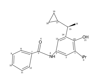 CC(C)c1cc(NC(=O)c2ccccc2)cc([C@H](C)C2CC2)c1O